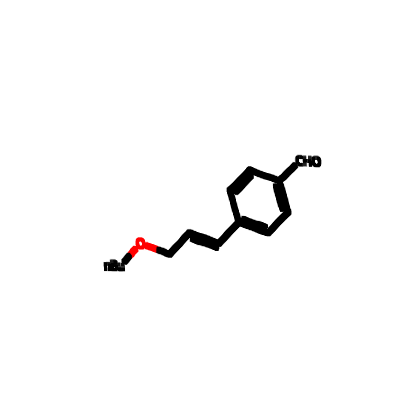 CCCCOC/C=C/c1ccc(C=O)cc1